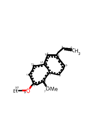 C=Cc1ccc2c(OC)c(OCC)ccc2c1